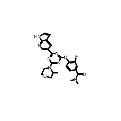 CC1COCCN1c1nc(Oc2ccc(C(=O)N(C)C)cc2F)nc(-c2cnc3[nH]ccc3c2)n1